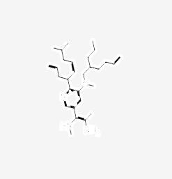 C=CCCC(CCC)CN(C)c1cc(/C(NC)=C(\C)N)cnc1C(/C=C\CC(C)C)CC=C